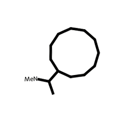 CNC(C)C1CCCCCCCCCC1